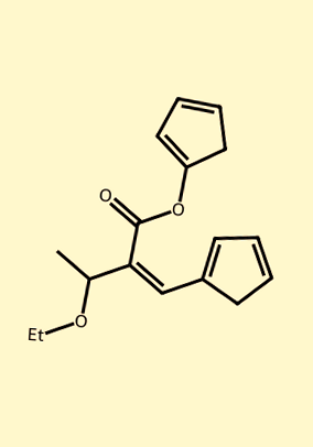 CCOC(C)C(=CC1=CC=CC1)C(=O)OC1=CC=CC1